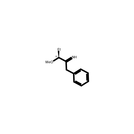 CC[C@H](OC)C(=N)Cc1ccccc1